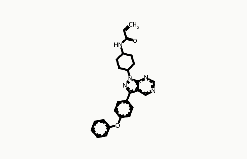 C=CC(=O)NC1CCC(n2nc(-c3ccc(Oc4ccccc4)cc3)c3cncnc32)CC1